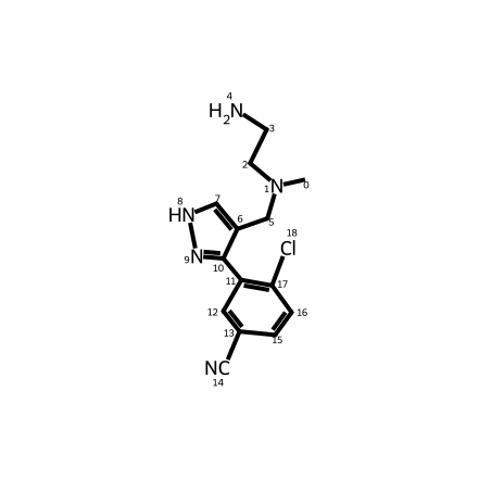 CN(CCN)Cc1c[nH]nc1-c1cc(C#N)ccc1Cl